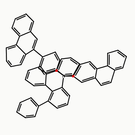 c1ccc(-c2ccccc2-c2c(-c3ccccc3)cccc2N(c2ccc(-c3cc4ccccc4c4ccccc34)cc2)c2ccc3c(ccc4ccccc43)c2)cc1